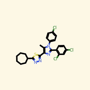 Cc1c(-c2nnc(C3CCCCCC3)s2)nc(-c2ccc(Cl)cc2Cl)n1-c1ccc(Cl)cc1